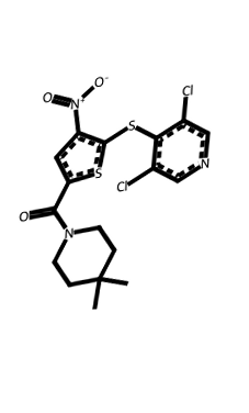 CC1(C)CCN(C(=O)c2cc([N+](=O)[O-])c(Sc3c(Cl)cncc3Cl)s2)CC1